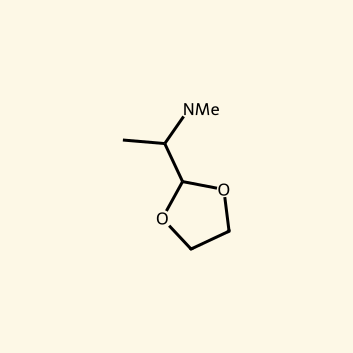 CNC(C)C1OCCO1